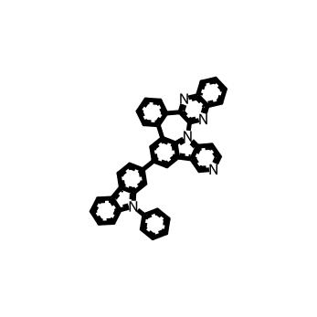 c1ccc(-n2c3ccccc3c3ccc(-c4cc5c6c(c4)c4cnccc4n6-c4nc6ccccc6nc4-c4ccccc4-5)cc32)cc1